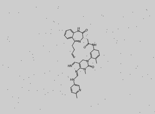 C=CCCC1=N[C@@H](CC(=O)NC2C=C(N3CC(C=N)=C(/N=C/Nc4ccc(C)nc4)N(C)C3=O)C(C)=CC2)C(=O)Nc2ccccc21